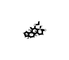 CCSC1C(C)[C@@H]2[C@@H](CC[C@]3(C)CCC[C@@H]23)[C@@]2(C)CCC(=O)N(C)C12